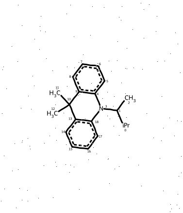 CC(C)C(C)N1c2ccccc2C(C)(C)c2ccccc21